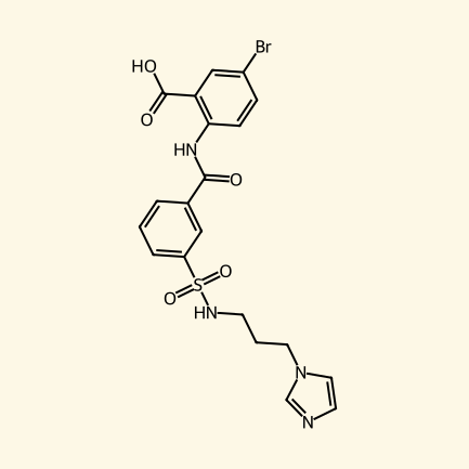 O=C(Nc1ccc(Br)cc1C(=O)O)c1cccc(S(=O)(=O)NCCCn2ccnc2)c1